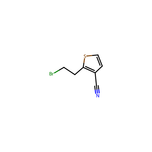 N#Cc1ccsc1CCBr